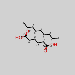 CCCCCCCCC.O=C(O)CCCCC(=O)O